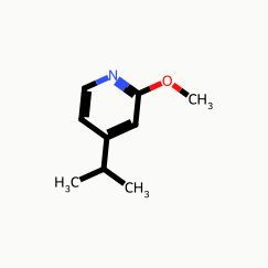 COc1cc(C(C)C)ccn1